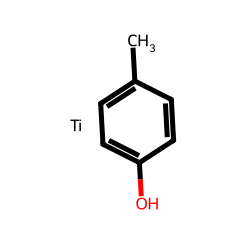 Cc1ccc(O)cc1.[Ti]